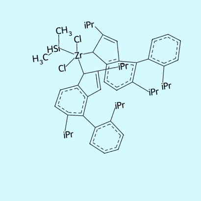 CC(C)C1=Cc2c(ccc(C(C)C)c2-c2ccccc2C(C)C)[CH]1[Zr]([Cl])([Cl])([CH]1C(C(C)C)=Cc2c1ccc(C(C)C)c2-c1ccccc1C(C)C)[SiH](C)C